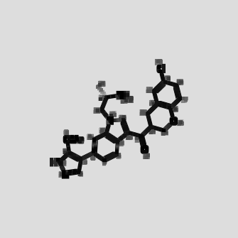 COc1[nH]ncc1-c1ccc2c(C(=O)C3COc4ccc(Cl)cc4C3)cn(C[C@H](C)N)c2c1